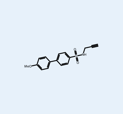 C#CCNS(=O)(=O)c1ccc(-c2ccc(OC)cc2)cc1